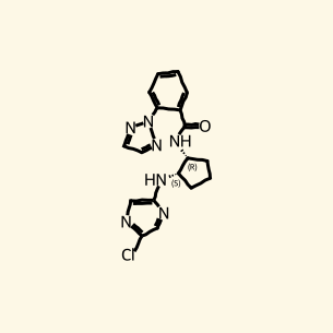 O=C(N[C@@H]1CCC[C@@H]1Nc1cnc(Cl)cn1)c1ccccc1-n1nccn1